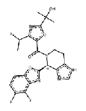 CC(C)(O)c1nc(C(F)F)c(C(=O)N2CCc3[nH]cnc3[C@H]2c2nc3c(F)c(F)ccc3o2)o1